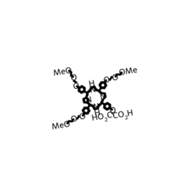 COCCOCCOc1ccc(-c2c3nc(c(-c4ccc(OCCOCCOC)cc4)c4ccc([nH]4)c(-c4ccc(OC(C(=O)O)C(=O)O)cc4)c4nc(c(-c5ccc(OCCOCCOC)cc5)c5ccc2[nH]5)C=C4)C=C3)cc1